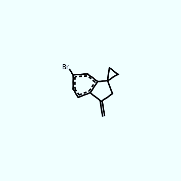 C=C1CC2(CC2)c2cc(Br)ccc21